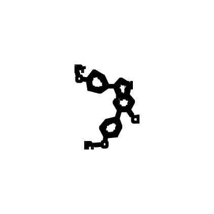 CC(C)Oc1ccc(-c2cn3c(-c4ccc(OC(C)C)cc4)cnc3cc2Cl)cc1